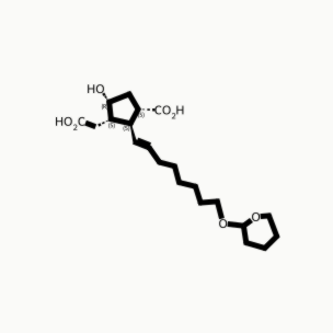 O=C(O)C[C@H]1[C@H](C=CCCCCCCOC2CCCCO2)[C@@H](C(=O)O)C[C@H]1O